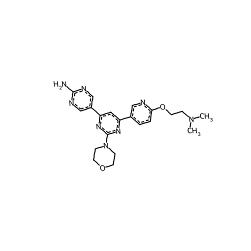 CN(C)CCOc1ccc(-c2cc(-c3cnc(N)nc3)nc(N3CCOCC3)n2)cn1